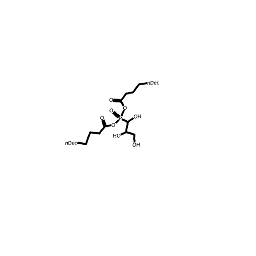 CCCCCCCCCCCCCC(=O)OP(=O)(OC(=O)CCCCCCCCCCCCC)C(O)C(O)CO